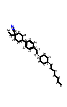 CCCCCCC[C@H]1CC[C@H](CCc2ccc(C3CCC(C#N)(CC)CC3)cc2)CC1